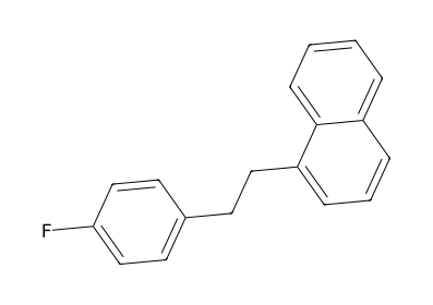 Fc1ccc(CCc2cccc3ccccc23)cc1